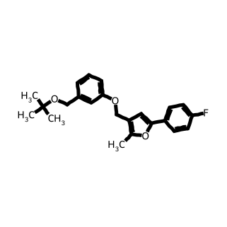 Cc1oc(-c2ccc(F)cc2)cc1COc1cccc(COC(C)(C)C)c1